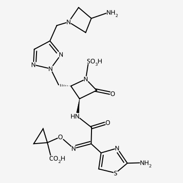 Nc1nc(C(=NOC2(C(=O)O)CC2)C(=O)N[C@@H]2C(=O)N(S(=O)(=O)O)[C@H]2Cn2ncc(CN3CC(N)C3)n2)cs1